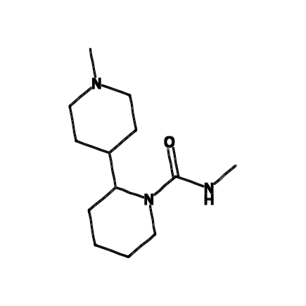 CNC(=O)N1CCCCC1C1CCN(C)CC1